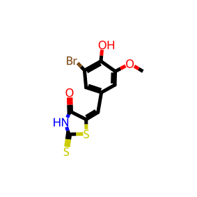 COc1cc(C=C2SC(=S)NC2=O)cc(Br)c1O